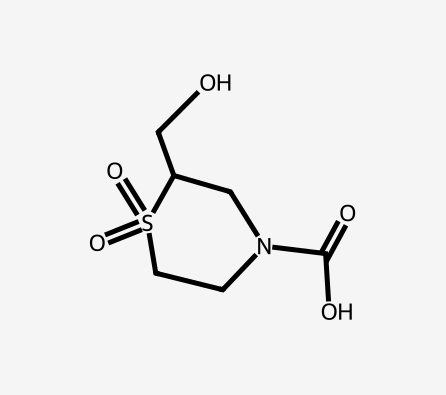 O=C(O)N1CCS(=O)(=O)C(CO)C1